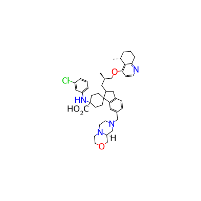 C[C@@H](COc1ccnc2c1[C@H](C)CCC2)CC1Cc2ccc(CN3CCN4CCOC[C@@H]4C3)cc2C12CCC(Nc1cccc(Cl)c1)(C(=O)O)CC2